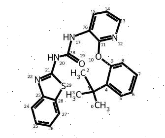 CC(C)(C)c1ccccc1Oc1ncccc1NC(=O)Nc1nc2ccccc2s1